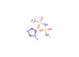 Cn1ccnc1.O=S(=O)(NS(=O)(=O)C(F)(F)F)C(F)(F)F